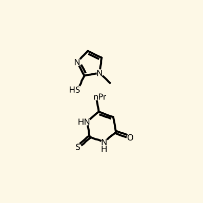 CCCc1cc(=O)[nH]c(=S)[nH]1.Cn1ccnc1S